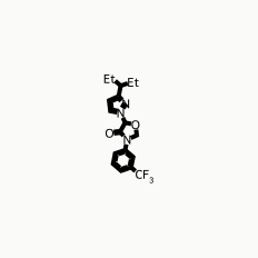 CCC(CC)c1ccn(C2OCN(c3cccc(C(F)(F)F)c3)C2=O)n1